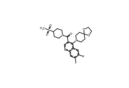 CS(=O)(=O)C1CCN(C(=O)c2cnc3cc(F)c(F)cc3c2N2CCC3(CC2)OCCO3)CC1